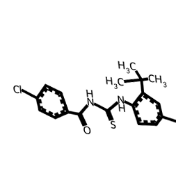 CC(C)(C)c1cc(Cl)ccc1NC(=S)NC(=O)c1ccc(Cl)cc1